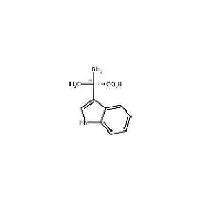 C[C@](N)(C(=O)O)c1c[nH]c2ccccc12